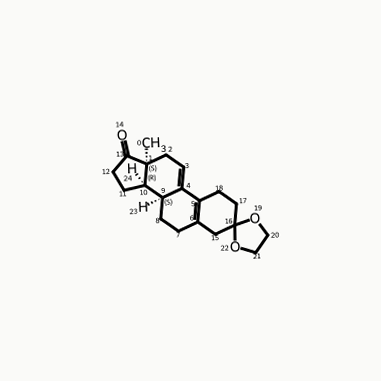 C[C@]12CC=C3C4=C(CC[C@H]3[C@H]1CCC2=O)CC1(CC4)OCCO1